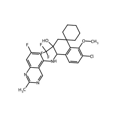 COc1c(Cl)ccc2c1C1(CCCCC1)CC(O)(C(F)(F)F)C2Nc1cc(F)cc2nc(C)ncc12